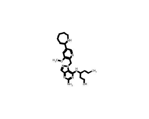 CCCC(CCO)Nc1nc(N)nc2cnn(Cc3ncc(C4CCCCCN4)cc3OC)c12